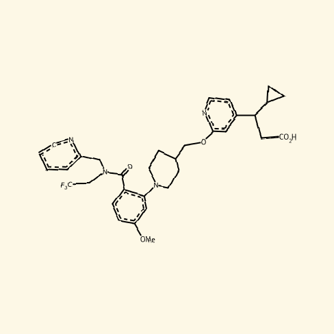 COc1ccc(C(=O)N(Cc2ccccn2)CC(F)(F)F)c(N2CCC(COc3cc(C(CC(=O)O)C4CC4)ccn3)CC2)c1